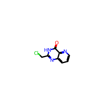 O=c1[nH]c(CCl)nc2cccnc12